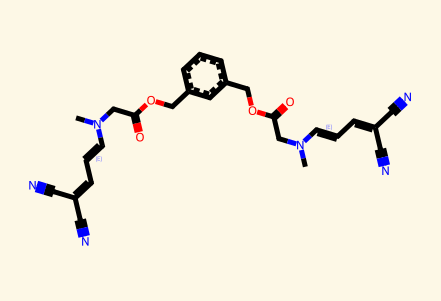 CN(/C=C/C=C(C#N)C#N)CC(=O)OCc1cccc(COC(=O)CN(C)/C=C/C=C(C#N)C#N)c1